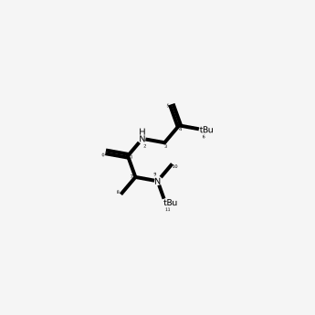 C=C(NCC(=C)C(C)(C)C)C(C)N(C)C(C)(C)C